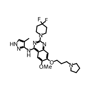 COc1cc2c(Nc3n[nH]cc3C)nc(N3CCC(F)(F)CC3)nc2cc1OCCCN1CCCC1